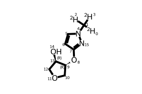 [2H]C([2H])([2H])n1ccc(O[C@@H]2COC[C@H]2O)n1